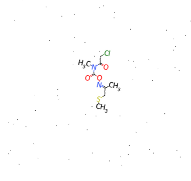 CSCC(C)=NOC(=O)N(C)C(=O)CCl